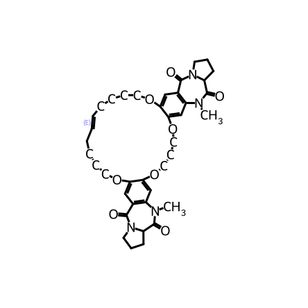 CN1C(=O)C2CCCN2C(=O)c2cc3c(cc21)OCCCOc1cc2c(cc1OCCCC/C=C/CCCCO3)C(=O)N1CCCC1C(=O)N2C